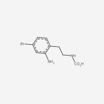 CC(C)c1ccc(CCNC(=O)O)c(N)c1